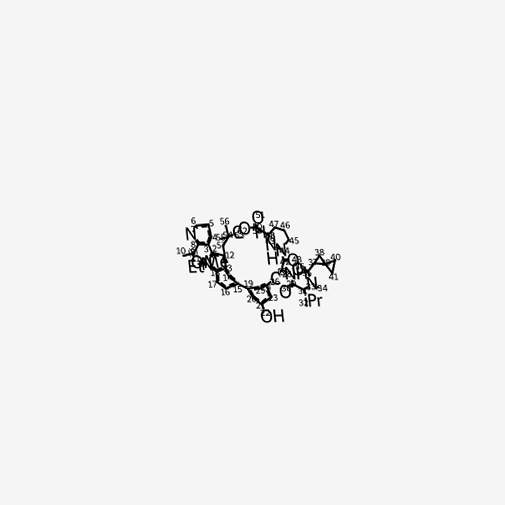 CCn1c(-c2cccnc2[C@H](C)OC)c2c3cc(ccc31)-c1cc(O)cc(c1)C[C@H](NC(=O)C(C(C)C)N(C)C(=O)C1CC13CC3)C(=O)N1CCC[C@H](N1)C(=O)OCC(C)(C)C2